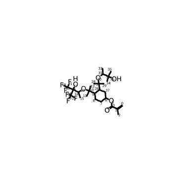 C=C(C)C(=O)OC1CCC(C(C)(C)OC(C)C(O)(C(F)(F)F)C(F)(F)F)C(C(C)(C)OC(C)C(C)(C)O)C1